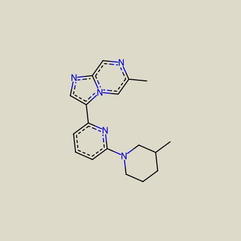 Cc1cn2c(-c3cccc(N4CCCC(C)C4)n3)cnc2cn1